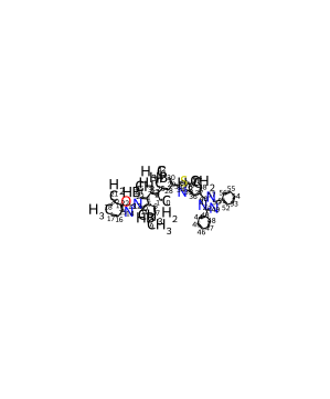 C=CC(=C\c1c(/C=C\BC)c(C)n(-c2nc(/C=C\C)c(C=C)o2)c1BC)/C(C)=C/C(=C\BC)c1n/c(=C/C(=C\C)c2nc(-c3ccccc3)nc(-c3ccccc3)n2)c(=C)s1